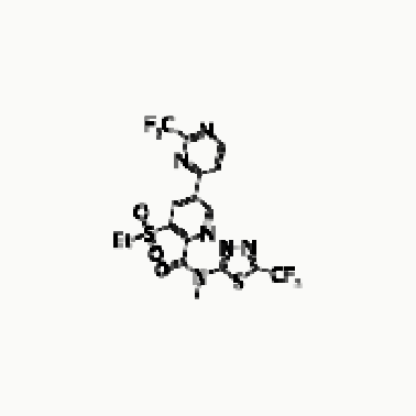 CCS(=O)(=O)c1cc(-c2ccnc(C(F)(F)F)n2)cnc1C(=O)N(C)c1nnc(C(F)(F)F)s1